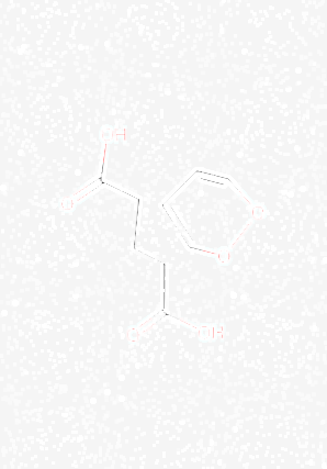 C1=COOC=C1.O=C(O)CCCC(=O)O